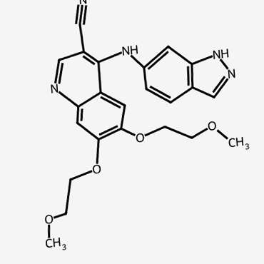 COCCOc1cc2ncc(C#N)c(Nc3ccc4cn[nH]c4c3)c2cc1OCCOC